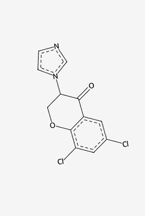 O=C1c2cc(Cl)cc(Cl)c2OCC1n1ccnc1